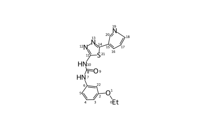 CCOc1cccc(NC(=O)Nc2nnc(-c3cccnc3)s2)c1